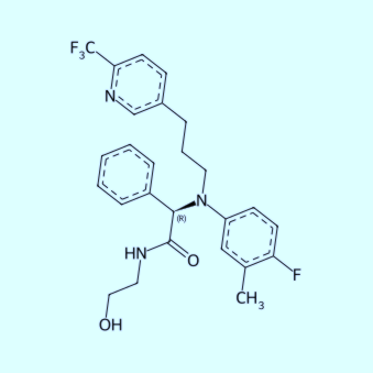 Cc1cc(N(CCCc2ccc(C(F)(F)F)nc2)[C@@H](C(=O)NCCO)c2ccccc2)ccc1F